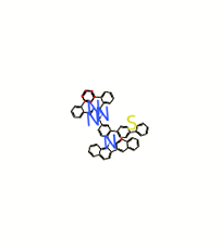 c1ccc(-c2ccccc2-c2nc(-c3ccc(-n4c5cc6ccccc6cc5c5ccc6ccccc6c54)c(-c4ccc5c(c4)sc4ccccc45)c3)nc(-c3ccccc3-c3ccccc3)n2)cc1